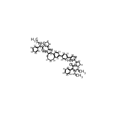 CCN[C@@H](C(=O)N1CCC[C@H]1c1nc2c([nH]1)CCCCc1cc(-c3ccc(-c4cnc([C@@H]5CCCN5C(=O)[C@@H](c5ccccc5)N(CC)CC)[nH]4)cc3)ccc1-2)c1ccccc1